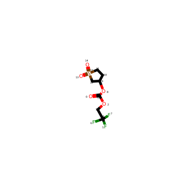 O=C(OCC(F)(F)F)OC1CCS(=O)(=O)C1